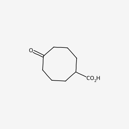 O=C1CCCC(C(=O)O)CCC1